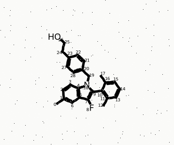 Cc1ccc2c(c1)c(F)c(-c1c(C)cccc1C)n2Cc1ccc(CCO)cc1